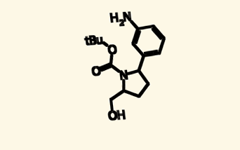 CC(C)(C)OC(=O)N1C(CO)CCC1c1cccc(N)c1